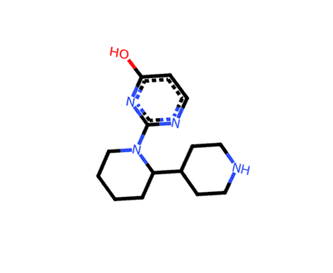 Oc1ccnc(N2CCCCC2C2CCNCC2)n1